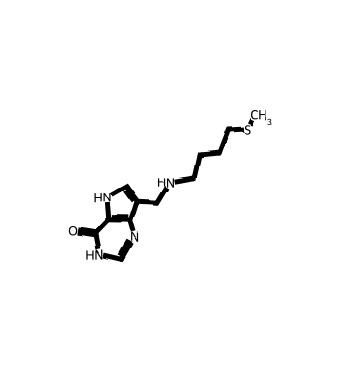 CSCCCCNCc1c[nH]c2c(=O)[nH]cnc12